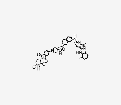 Cc1cccc(C)c1Nc1nn(C)c2nc(Nc3ccc4c(c3)CN(C(=O)CC3(O)CCN(c5ccc6c(c5)C(=O)N(C5CCC(=O)NC5=O)C6=O)CC3)CC4)ncc12